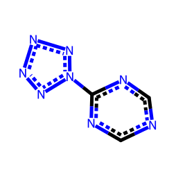 c1ncnc(-n2nnnn2)n1